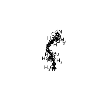 Cc1ncsc1-c1ccc([C@H](C)NC(=O)C2C[C@@H](O)CN2C(=O)[C@@H](NC(=O)CN2CCC(CN3CCN(c4ccc(C(=O)N[C@H]5C(C)(C)[C@H](Oc6ccc(C#N)c(Cl)c6)C5(C)C)cn4)CC3)CC2)C(C)(C)C)cc1